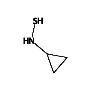 SNC1CC1